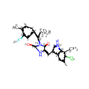 Cc1c(Cl)ccc2c(C=C3NC(=O)N(C(C(=O)O)c4ccc(C#N)c(F)c4)C3=O)c[nH]c12